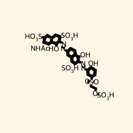 CC(=O)Nc1cc(S(=O)(=O)O)cc2cc(S(=O)(=O)O)c(/N=N/c3ccc4c(O)c(/N=N/c5cc(S(=O)(=O)CCOS(=O)(=O)O)ccc5O)c(S(=O)(=O)O)cc4c3)c(O)c12